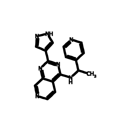 CC(Nc1nc(-c2cn[nH]c2)nc2cnccc12)c1ccncc1